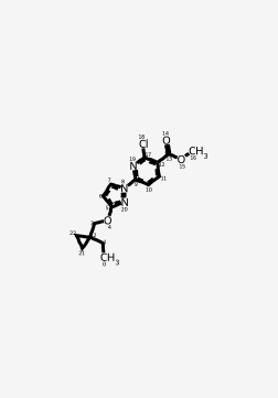 CCC1(COc2ccn(-c3ccc(C(=O)OC)c(Cl)n3)n2)CC1